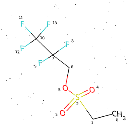 CCS(=O)(=O)OCC(F)(F)C(F)(F)F